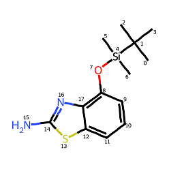 CC(C)(C)[Si](C)(C)Oc1cccc2sc(N)nc12